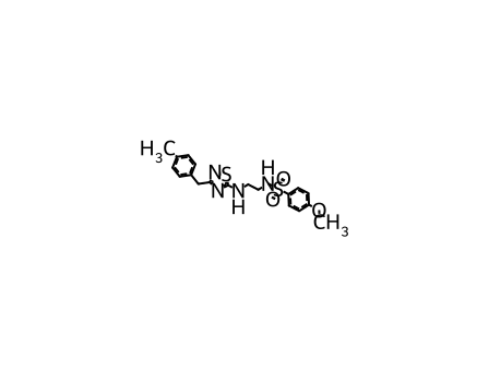 COc1ccc(S(=O)(=O)NCCNc2nc(Cc3ccc(C)cc3)ns2)cc1